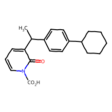 CC(c1ccc(C2CCCCC2)cc1)c1cccn(C(=O)O)c1=O